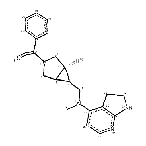 CN(CC1C2CN(C(=O)c3ccccc3)C[C@H]21)c1ncnc2c1CCN2